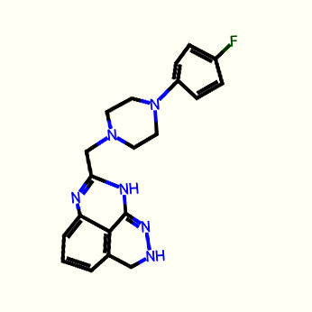 Fc1ccc(N2CCN(CC3=Nc4cccc5c4C(=NNC5)N3)CC2)cc1